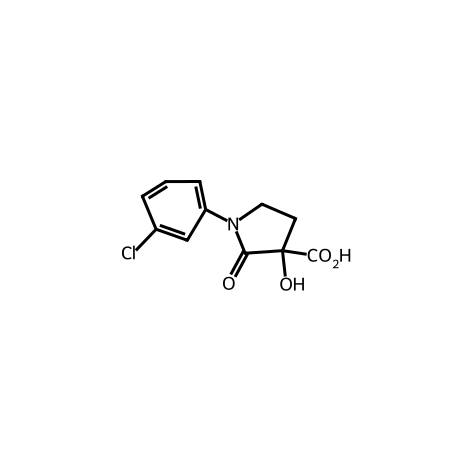 O=C(O)C1(O)CCN(c2cccc(Cl)c2)C1=O